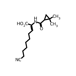 CC1(C)CC1C(=O)NC(=CCCCCCCC#N)C(=O)O